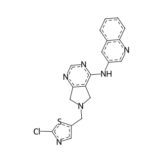 Clc1ncc(CN2Cc3ncnc(Nc4cnc5ccccc5c4)c3C2)s1